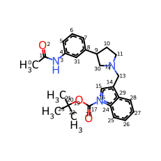 CC(=O)Nc1cccc(C2CCN(Cc3cn(C(=O)OC(C)(C)C)c4ccccc34)C2)c1